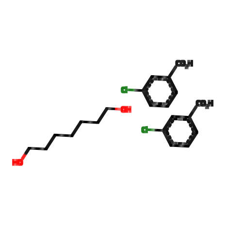 O=C(O)c1cccc(Cl)c1.O=C(O)c1cccc(Cl)c1.OCCCCCCCO